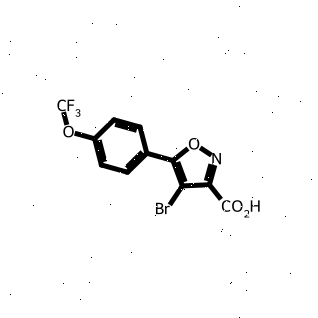 O=C(O)c1noc(-c2ccc(OC(F)(F)F)cc2)c1Br